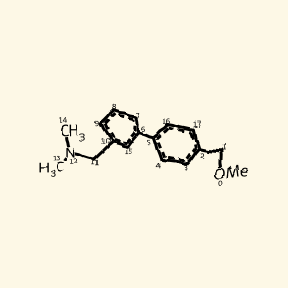 COCc1ccc(-c2cccc(CN(C)C)c2)cc1